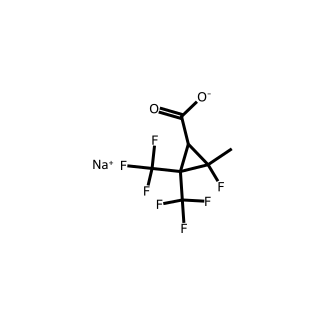 CC1(F)C(C(=O)[O-])C1(C(F)(F)F)C(F)(F)F.[Na+]